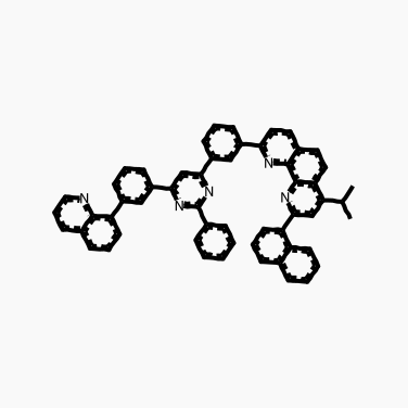 CC(C)c1cc(-c2cccc3ccccc23)nc2c1ccc1ccc(-c3cccc(-c4cc(-c5cccc(-c6cccc7cccnc67)c5)nc(-c5ccccc5)n4)c3)nc12